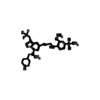 COc1cc(S(C)(=O)=O)ccc1NCC#Cc1cc(N(C)CC2CCNCC2)c2ccn(CC(F)(F)F)c2c1